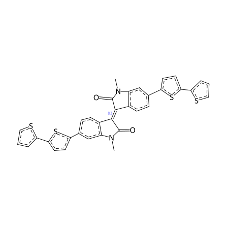 CN1C(=O)/C(=C2/C(=O)N(C)c3cc(-c4ccc(-c5cccs5)s4)ccc32)c2ccc(-c3ccc(-c4cccs4)s3)cc21